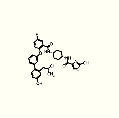 Cc1nc(C(=O)N[C@H]2CC[C@@H](NC(=O)c3cc(F)cnc3Oc3cccc(-c4ccc(O)cc4CN(C)C)c3)CC2)cs1